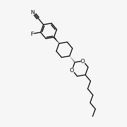 CCCCCCC1COC([C@H]2CC[C@H](c3ccc(C#N)c(F)c3)CC2)OC1